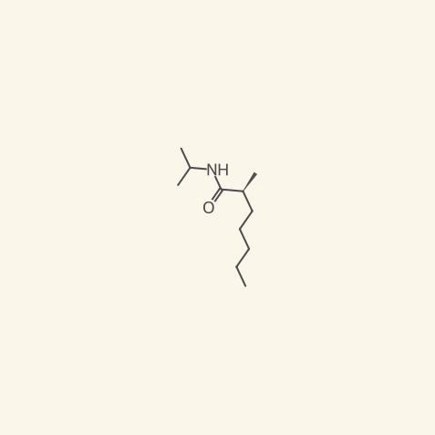 CCCCC[C@H](C)C(=O)NC(C)C